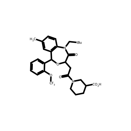 Cc1ccc2c(c1)C(c1ccccc1OC(F)(F)F)OC(CC(=O)N1CCCC(C(=O)O)C1)C(=O)N2CC(C)(C)C